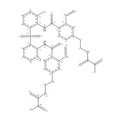 C=C(C)C(=O)OCCc1ccc(C(=O)Nc2c(C)cccc2S(=O)(=O)c2cccc(C)c2NC(=O)c2ccc(CCOC(=O)C(=C)C)cc2C=O)c(C=O)c1